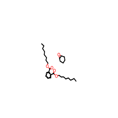 C1CCC2OC2C1.CCCCCCCCOC(=O)c1ccccc1C(=O)OCCCCCCCC